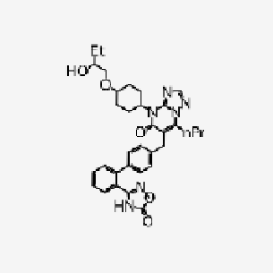 CCCc1c(Cc2ccc(-c3ccccc3-c3noc(=O)[nH]3)cc2)c(=O)n(C2CCC(OCC(O)CC)CC2)c2ncnn12